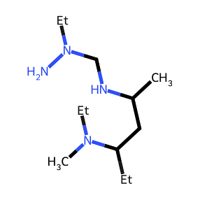 CCC(CC(C)NCN(N)CC)N(C)CC